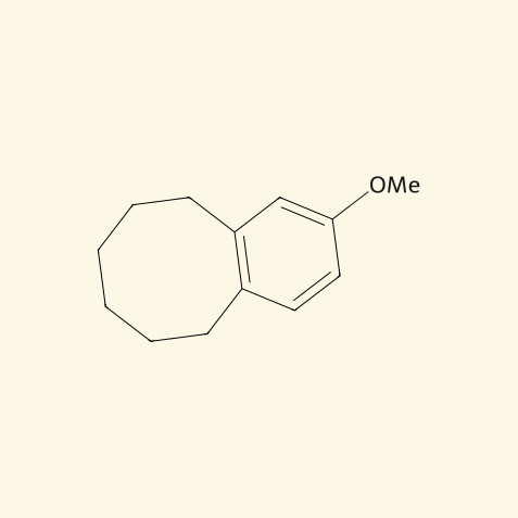 COc1ccc2c(c1)CCCCCC2